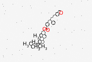 CC(C)CCCC(C)C1CCC2C3CC=C4CC(OC(=O)c5ccc(CC(CCCc6ccc7occc7c6)c6ccccc6)cc5)CCC4(C)C3CCC12C